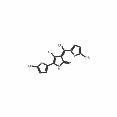 CC(=O)C1=C(c2ccc(C)o2)NC(=O)/C1=C(/C)c1ccc(C)s1